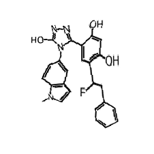 Cn1ccc2cc(-n3c(O)nnc3-c3cc(C(F)Cc4ccccc4)c(O)cc3O)ccc21